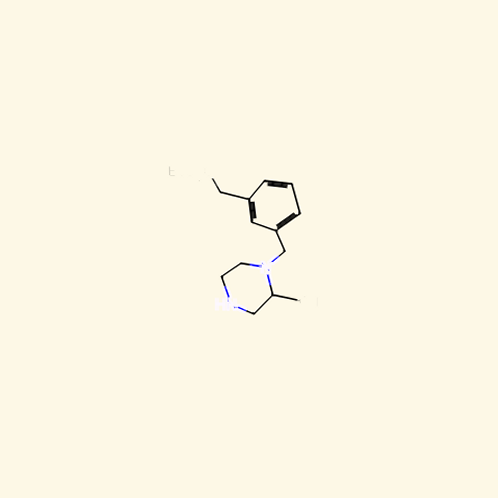 CCOC(=O)Cc1cccc(CN2CCNCC2C)c1